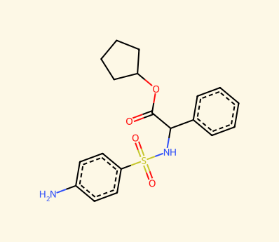 Nc1ccc(S(=O)(=O)NC(C(=O)OC2CCCC2)c2ccccc2)cc1